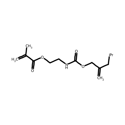 C=C(COC(=O)NCCOC(=O)C(=C)C)CC(C)C